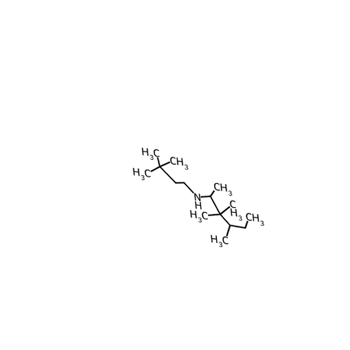 CCC(C)C(C)(C)C(C)NCCC(C)(C)C